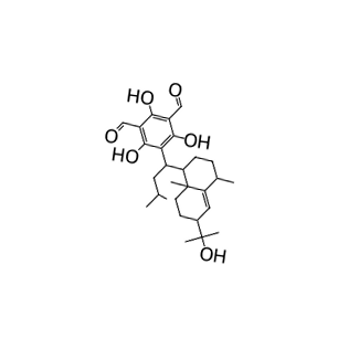 CC(C)CC(c1c(O)c(C=O)c(O)c(C=O)c1O)C1CCC(C)C2=CC(C(C)(C)O)CCC21C